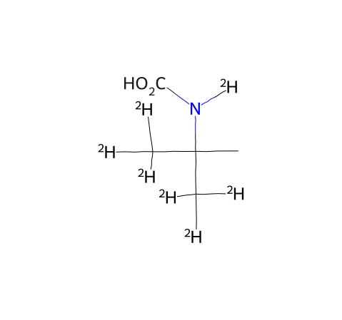 [2H]N(C(=O)O)C(C)(C([2H])([2H])[2H])C([2H])([2H])[2H]